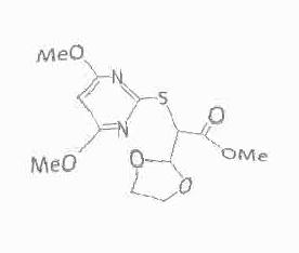 COC(=O)C(Sc1nc(OC)cc(OC)n1)C1OCCO1